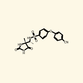 C[C@@H](NS(=O)(=O)c1ccc(Oc2ccc(C#N)cc2)cc1)[C@@]1(C)NC(=O)NC1=O